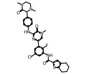 CN1CCN(C)C(c2ccc(Nc3nc(-c4cc(Cl)cc(NC(=O)c5cc6c(s5)CCCC6)c4F)cn(C)c3=O)cc2)C1=O